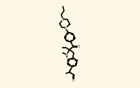 CCCN1CCN(c2ccc(C(=O)C(CC)(Cc3ccc(C(C)C=O)cc3)N(C)C)cc2)CC1